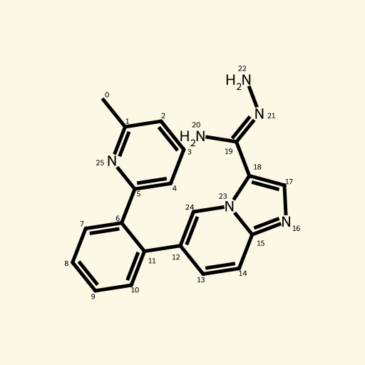 Cc1cccc(-c2ccccc2-c2ccc3ncc(/C(N)=N/N)n3c2)n1